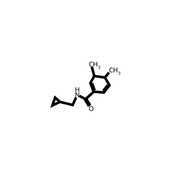 CC1C=CC(C(=O)NCC2CC2)=CC1C